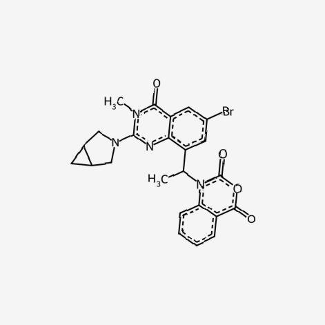 CC(c1cc(Br)cc2c(=O)n(C)c(N3CC4CC4C3)nc12)n1c(=O)oc(=O)c2ccccc21